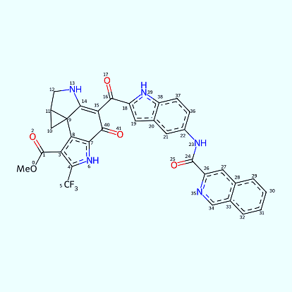 COC(=O)c1c(C(F)(F)F)[nH]c2c1C13CC1CNC3=C(C(=O)c1cc3cc(NC(=O)c4cc5ccccc5cn4)ccc3[nH]1)C2=O